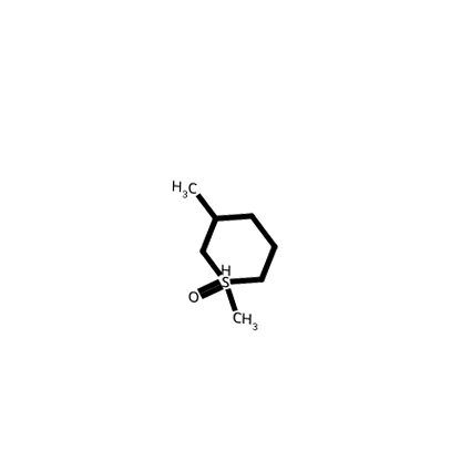 CC1CCC[SH](C)(=O)C1